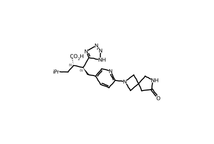 CC(C)C[C@H](C(=O)O)[C@H](Cc1ccc(N2CC3(CNC(=O)C3)C2)nc1)c1nnn[nH]1